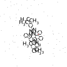 CC(C)(C)c1ccc(-c2nc(-c3ccccc3)nc(-n3c4ccccc4c4ccc5c(c6ccc7ccccc7c6n5-c5cccc6c5C(C)(C)CCC6(C)C)c43)n2)cc1